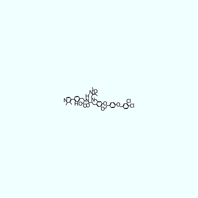 Cc1nc(CN2Cc3cc4c(cc3CC2C(=O)NC(Cc2ccc(-c3ccnc(C)c3C)cc2)C(=O)O)OCC(c2ccc(OCc3ccc(Cl)c(Cl)c3)cc2)O4)c(C)o1